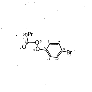 CCCC(=O)OOc1ccc(Br)cc1